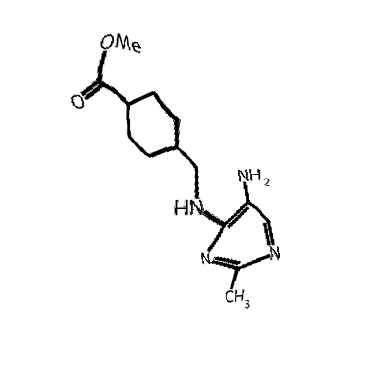 COC(=O)C1CCC(CNc2nc(C)ncc2N)CC1